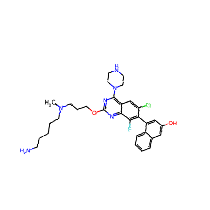 CN(CCCCCN)CCCOc1nc(N2CCNCC2)c2cc(Cl)c(-c3cc(O)cc4ccccc34)c(F)c2n1